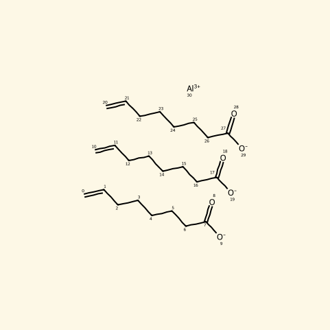 C=CCCCCCC(=O)[O-].C=CCCCCCC(=O)[O-].C=CCCCCCC(=O)[O-].[Al+3]